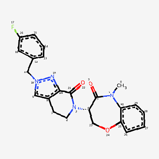 CN1C(=O)[C@@H](N2CCc3cn(Cc4cccc(F)c4)nc3C2=O)COc2ccccc21